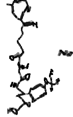 Cc1ccnc(NCCCCC(=O)NCC(=O)NC(CC(=O)O)c2cccc(OC(F)(F)F)c2)c1.[Na]